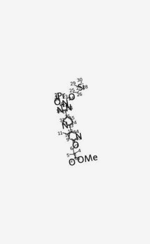 COC(=O)C(C)(C)COc1cc(C)c(-c2ccc(-c3nc(OC(C)C)n(COCC[Si](C)(C)C)n3)cn2)cn1